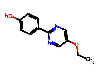 CCOc1cnc(-c2ccc(O)cc2)nc1